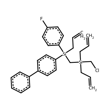 C=CC[Si](CCl)(CC=C)C[Si](CC=C)(c1ccc(F)cc1)c1ccc(-c2ccccc2)cc1